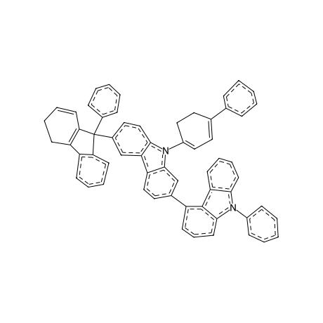 C1=CC2=C(CC1)c1ccccc1C2(c1ccccc1)c1ccc2c(c1)c1ccc(-c3cccc4c3c3ccccc3n4-c3ccccc3)cc1n2C1=CC=C(c2ccccc2)CC1